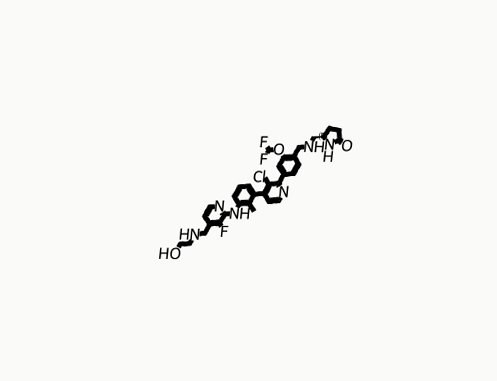 Cc1c(Nc2nccc(CNCCO)c2F)cccc1-c1ccnc(-c2ccc(CNC[C@H]3CCC(=O)N3)c(OC(F)F)c2)c1Cl